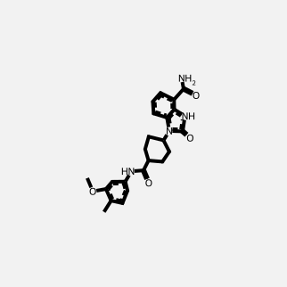 COc1cc(NC(=O)C2CCC(n3c(=O)[nH]c4c(C(N)=O)cccc43)CC2)ccc1C